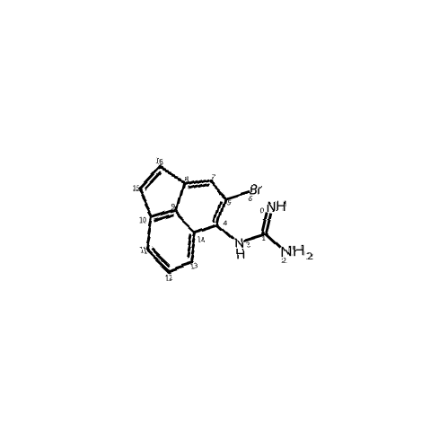 N=C(N)Nc1c(Br)cc2c3c(cccc13)C=C2